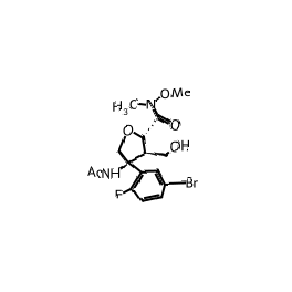 CON(C)C(=O)[C@H]1OC[C@@](NC(C)=O)(c2cc(Br)ccc2F)[C@@H]1CO